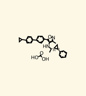 Cc1noc(-c2ccc(-c3ccc(C4CC4)cc3)cc2)c1NC(C)[C@@H]1C[C@H]1c1ccccc1.O=C(O)O